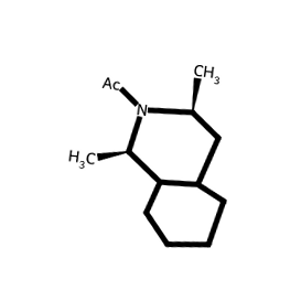 CC(=O)N1[C@H](C)C2CCCCC2C[C@@H]1C